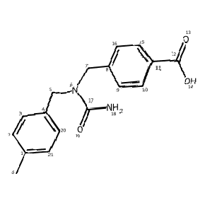 Cc1ccc(CN(Cc2ccc(C(=O)O)cc2)C(N)=O)cc1